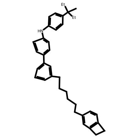 CCC(C)(CC)c1ccc(Nc2ccc(-c3cccc(CCCCCCc4ccc5c(c4)CC5)c3)cc2)cc1